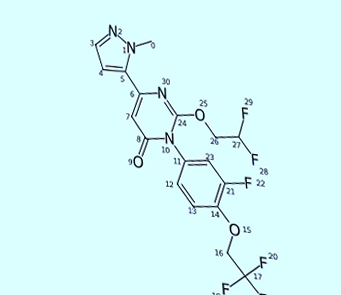 Cn1nccc1-c1cc(=O)n(-c2ccc(OCC(F)(F)F)c(F)c2)c(OCC(F)F)n1